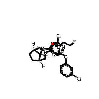 FCCn1nc(N[C@@H]2[C@@H]3CC[C@H]2CN(c2cnnc(Cl)c2)C3)nc1Oc1cccc(Cl)c1